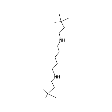 CC(C)(C)CCNCCCCCNCCC(C)(C)C